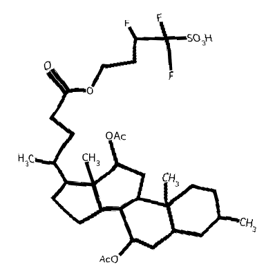 CC(=O)OC1CC2CC(C)CCC2(C)C2CC(OC(C)=O)C3(C)C(C(C)CCC(=O)OCCC(F)C(F)(F)S(=O)(=O)O)CCC3C12